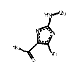 CC(C)c1sc(NC(C)(C)C)nc1C(=O)C(C)(C)C